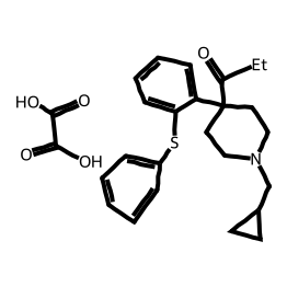 CCC(=O)C1(c2ccccc2Sc2ccccc2)CCN(CC2CC2)CC1.O=C(O)C(=O)O